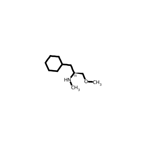 CN[C@H](COC)CC1CCCCC1